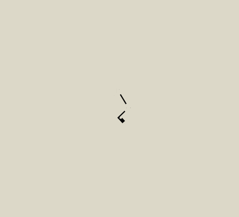 BOC=O